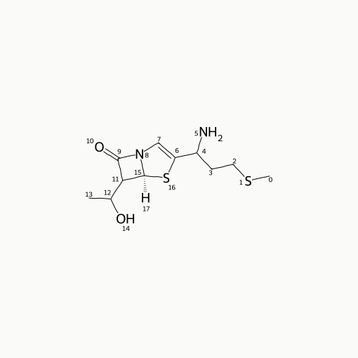 CSCCC(N)C1=CN2C(=O)C(C(C)O)[C@@H]2S1